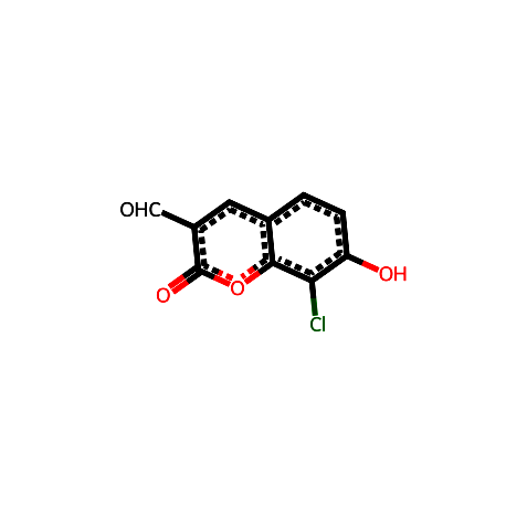 O=Cc1cc2ccc(O)c(Cl)c2oc1=O